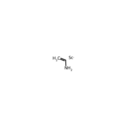 C=CN.[Sc]